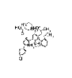 CCc1cccc(CC)c1N1C(CC(C)C)=C(C(=O)N2CCN[C@@H](C(=O)O)C2)C=C(c2nc(-c3ccc(Cl)cc3)cs2)C1O